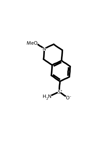 CON1CCc2ccc([S+](N)[O-])cc2C1